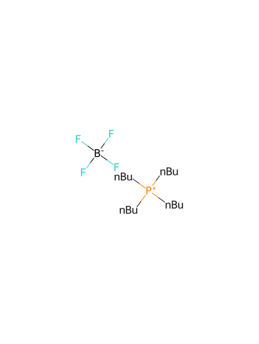 CCCC[P+](CCCC)(CCCC)CCCC.F[B-](F)(F)F